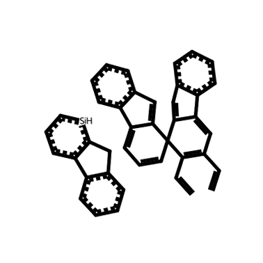 C=CC1=C(C=C)C2(C=CC=C3C2=Cc2ccccc23)C2=Cc3ccccc3C2=C1.c1ccc2c(c1)Cc1[siH]cccc1-2